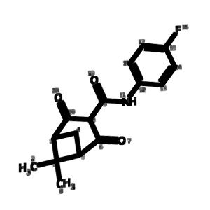 CC1(C)C2CC1C(=O)C(C(=O)Nc1ccc(F)cc1)C2=O